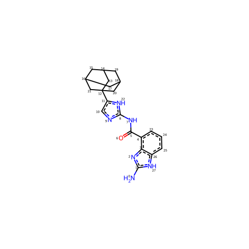 Nc1nc2c(C(=O)Nc3ncc(C45CC6CC(CC(C6)C4)C5)[nH]3)cccc2[nH]1